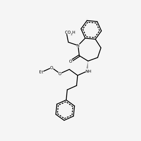 CCOOCC(CCc1ccccc1)N[C@H]1CCc2ccccc2N(CC(=O)O)C1=O